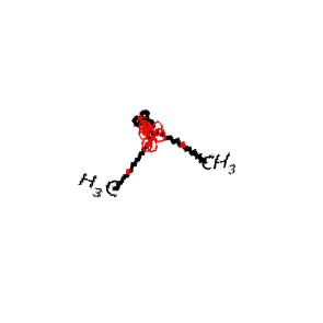 CCCCCCCCCCCCCCCCOC(=O)c1cc(C(=O)OCCCCCCCCCCCCCCCC)cc(S(=O)(=O)OS(c2ccccc2)(c2ccccc2)c2ccccc2)c1